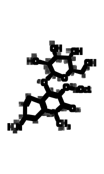 CCCCCCCCOc1c(O[C@@H]2O[C@H](CO)[C@@H](O)[C@H](O)[C@@H]2O)c2ccc(N)cc2n(C)c1=O